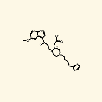 COc1ccc2nccc(C(F)CC[C@@H]3CCN(CCCSc4nccs4)C[C@@H]3CC(=O)O)c2c1